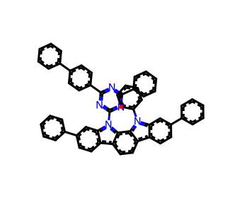 c1ccc(-c2ccc(-c3nc(-c4ccccc4)nc(-n4c5cc(-c6ccccc6)ccc5c5ccc6c7ccc(-c8ccccc8)cc7n(-c7ccccc7)c6c54)n3)cc2)cc1